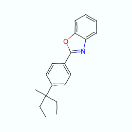 CCC(C)(CC)c1ccc(-c2nc3ccccc3o2)cc1